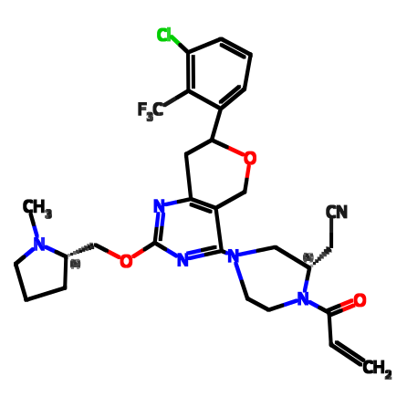 C=CC(=O)N1CCN(c2nc(OC[C@@H]3CCCN3C)nc3c2COC(c2cccc(Cl)c2C(F)(F)F)C3)C[C@@H]1CC#N